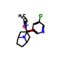 [C-]#[N+]C1(c2cncc(Cl)c2)CC2CCC(C1)N2C(=O)OCC